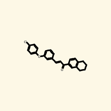 O=C(/C=C/c1cccc(Oc2ccc(Cl)cc2)c1)c1ccc2c(c1)CCCC2